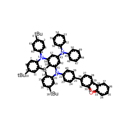 CC(C)(C)c1ccc(N2c3ccc(C(C)(C)C)cc3B3c4ccc(C(C)(C)C)cc4N(c4ccc(-c5ccc6c(c5)oc5ccccc56)cc4)c4cc(N(c5ccccc5)c5ccccc5)cc2c43)cc1